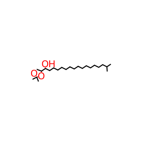 CC(C)CCCCCCCCCCCCCCC(O)C1COC(C)(C)O1